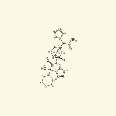 NC(=O)C(c1ccon1)[N+]12CCC(CC1)[C@@H](OC(=O)C(O)(c1cccs1)C1CCCCC1)C2